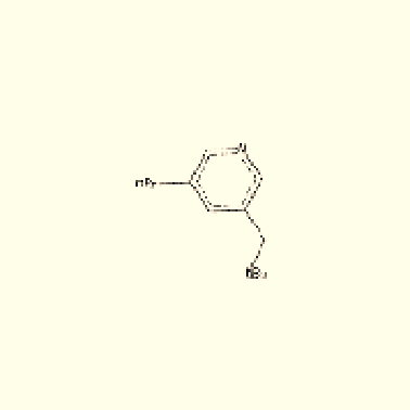 CCCc1cncc(CC(C)(C)C)c1